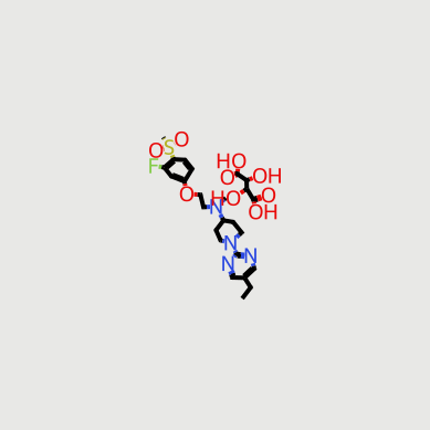 CCc1cnc(N2CCC(N(C)CCOc3ccc(S(C)(=O)=O)c(F)c3)CC2)nc1.O=C(O)C(O)C(O)C(=O)O